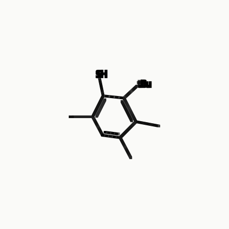 Cc1cc(C)c(S)c(C(C)(C)C)c1C